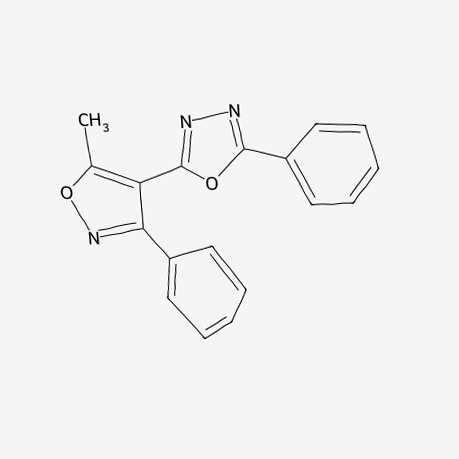 Cc1onc(-c2ccccc2)c1-c1nnc(-c2ccccc2)o1